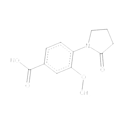 COc1cc(C(=O)O)ccc1N1CCCC1=O